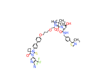 Cc1ncsc1-c1ccc(CNC(=O)[C@@H]2C[C@@H](O)CN2C(=O)[C@@H](NC(=O)COCCCCOc2ccc(-c3ccc(N4C(=S)N(c5cnc(C#N)c(C(F)(F)F)c5)C(=O)C45CCC5)cc3)cc2)C(C)(C)C)cc1